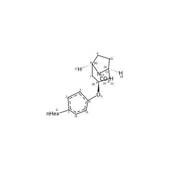 CCCCCCc1ccc(O[C@H]2C[C@H]3CC[C@@H](C2)N3C(=O)O)cc1